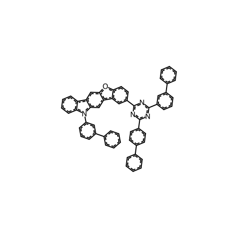 c1ccc(-c2ccc(-c3nc(-c4cccc(-c5ccccc5)c4)nc(-c4ccc5oc6cc7c8ccccc8n(-c8cccc(-c9ccccc9)c8)c7cc6c5c4)n3)cc2)cc1